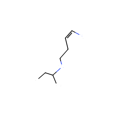 CCC(C)NCC/C=C\N